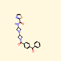 O=C(c1ccccc1)c1ccc(C(=O)N2CC(N3CC(NC(=O)c4nccs4)C3)C2)cc1